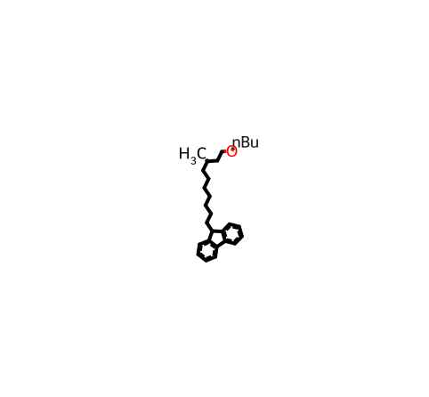 CCCCOCCC(C)CCCCCCCC1c2ccccc2-c2ccccc21